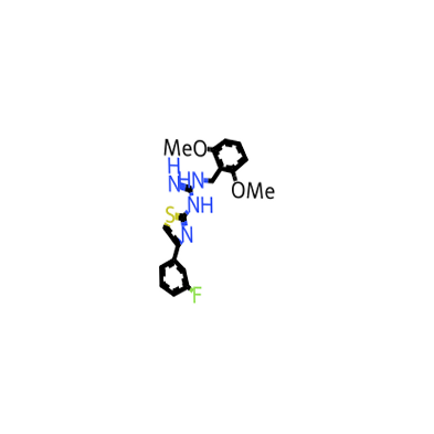 COc1cccc(OC)c1CNC(=N)Nc1nc(-c2cccc(F)c2)cs1